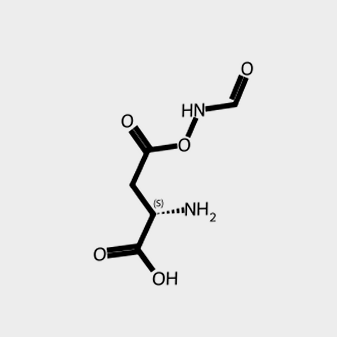 N[C@@H](CC(=O)ONC=O)C(=O)O